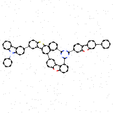 c1ccc(-c2ccc3c(c2)oc2cc(-c4nc(-c5ccccc5)nc(-c5cccc6oc7ccc(-c8ccc9sc%10ccc(-c%11ccc%12c(c%11)c%11ccccc%11n%12-c%11ccccc%11)cc%10c9c8)cc7c56)n4)ccc23)cc1